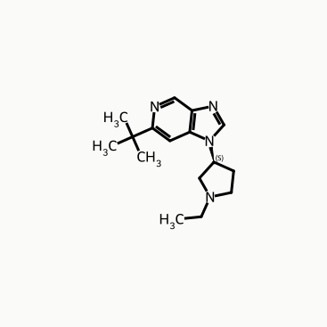 CCN1CC[C@H](n2cnc3cnc(C(C)(C)C)cc32)C1